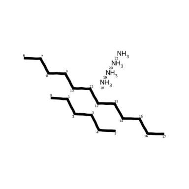 CCCCCC.CCCCCCCCCCCC.N.N.N.N